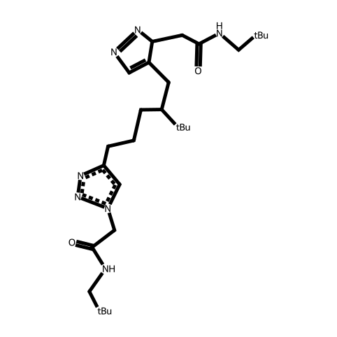 CC(C)(C)CNC(=O)CC1N=NC=C1CC(CCCc1cn(CC(=O)NCC(C)(C)C)nn1)C(C)(C)C